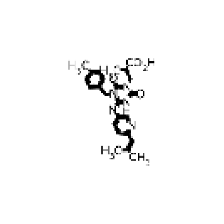 CC(C)=Cc1ccc(/N=c2\[nH]c(=O)n(C[C@H](C)C(=O)O)c(=O)n2Cc2ccc(C)cc2)cn1